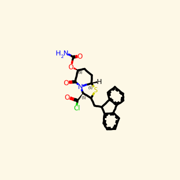 NC(=O)O[C@H]1CC[C@@H]2SC(CC3c4ccccc4-c4ccccc43)[C@@H](C(=O)Cl)N2C1=O